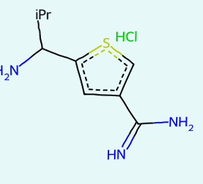 CC(C)C(N)c1cc(C(=N)N)cs1.Cl